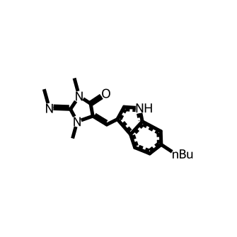 CCCCc1ccc2c(/C=C3\C(=O)N(C)/C(=N\C)N3C)c[nH]c2c1